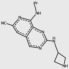 CC(C)Nc1nc(C#N)cc2cnc(NC3CNC3)nc12